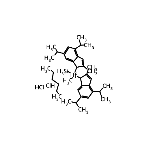 CC1=Cc2c(C(C)C)cc(C(C)C)cc2[CH]1[Hf]([CH3])([SiH3])[CH]1C(C)=Cc2c(C(C)C)cc(C(C)C)cc21.CCCCCC.Cl.Cl